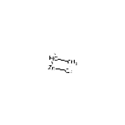 CO.[Cl][Zn]